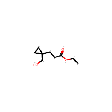 CCOC(=O)CCC1(CO)CC1